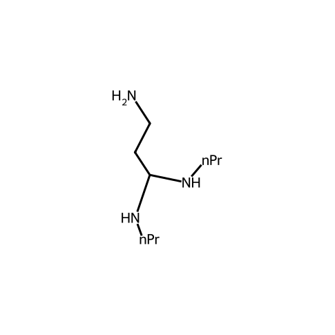 CCCNC(CCN)NCCC